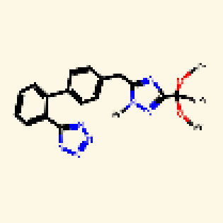 CCCC(OC(C)C)(OC(C)C)c1nc(Cc2ccc(-c3ccccc3-c3nnn[nH]3)cc2)n(C(C)C)n1